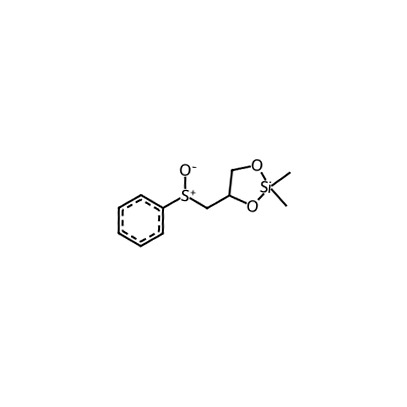 C[Si]1(C)OCC(C[S+]([O-])c2ccccc2)O1